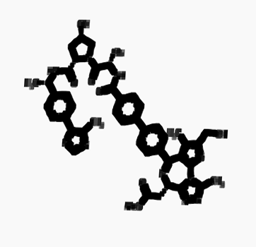 COC(=O)C[C@@H]1N=C(c2ccc(-c3ccc(C(=O)N[C@H](C(=O)N4C[C@H](O)C[C@H]4C(=O)N[C@@H](C)c4ccc(-c5scnc5C)cc4)C(C)(C)C)cc3)cc2)c2c(sc(CO)c2C)-n2c(C)nnc21